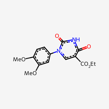 CCOC(=O)c1cn(-c2ccc(OC)c(OC)c2)c(=O)[nH]c1=O